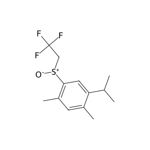 Cc1cc(C)c([S+]([O-])CC(F)(F)F)cc1C(C)C